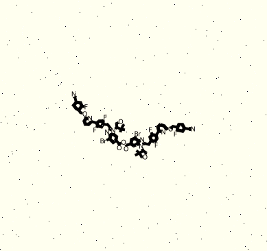 CC1(C)COCC1n1c(Cc2cc(F)c(-c3cccc(OCc4ccc(C#N)cc4F)n3)cc2F)nc2c(Br)cc(C(=O)OC(=O)c3cc(Br)c4nc(Cc5cc(F)c(-c6cccc(OCc7ccc(C#N)cc7F)n6)cc5F)n(C5COCC5(C)C)c4c3)cc21